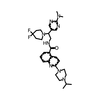 CC(C)N1CCN(c2ccc3c(C(=O)NCC(c4cnc(N(C)C)nc4)N4CCC(F)(F)CC4)cccc3n2)CC1